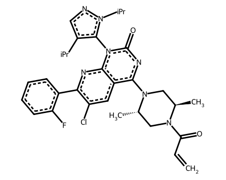 C=CC(=O)N1C[C@H](C)N(c2nc(=O)n(-c3c(C(C)C)cnn3C(C)C)c3nc(-c4ccccc4F)c(Cl)cc23)C[C@H]1C